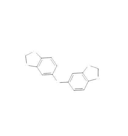 c1cc2c(cc1Oc1ccc3c(c1)OCO3)OCO2